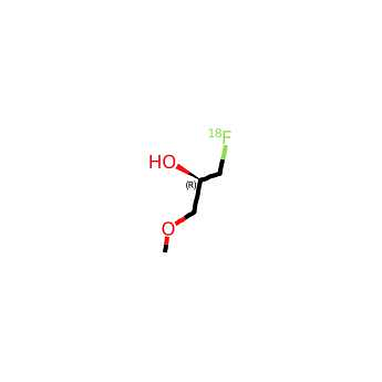 COC[C@@H](O)C[18F]